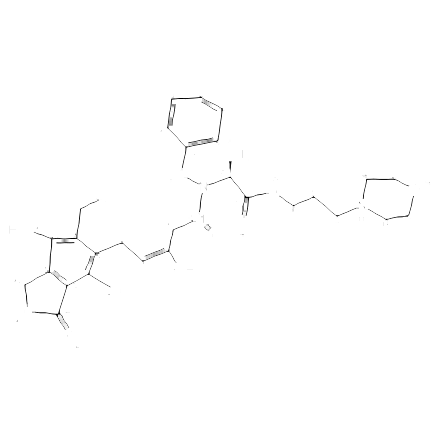 CCc1c(C)c2c(c(O)c1CC=C(C)C[PH](=O)N(Oc1ccccc1)[C@@H](C)C(=O)OCCCN1CCOCC1)C(=O)OC2